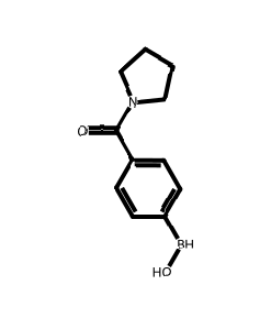 O=C(c1ccc(BO)cc1)N1CCCC1